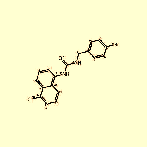 O=C(NCc1ccc(Br)cc1)Nc1cccc2c(Cl)nccc12